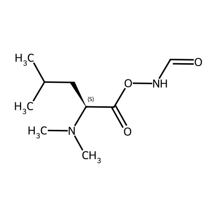 CC(C)C[C@@H](C(=O)ONC=O)N(C)C